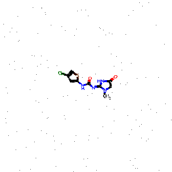 CN1CC(=O)NC1=NC(=O)Nc1cc(Cl)cs1